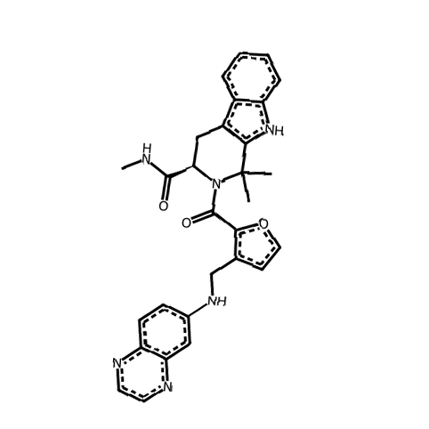 CNC(=O)[C@H]1Cc2c([nH]c3ccccc23)C(C)(C)N1C(=O)c1occc1CNc1ccc2nccnc2c1